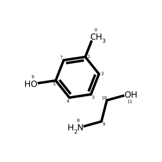 Cc1cccc(O)c1.NCCO